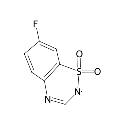 O=S1(=O)[N]C=Nc2ccc(F)cc21